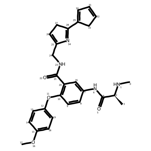 CN[C@@H](C)C(=O)Nc1ccc(Oc2ccc(OC)cc2)c(C(=O)NCC2=CCC(C3=CC=CC3)=N2)c1